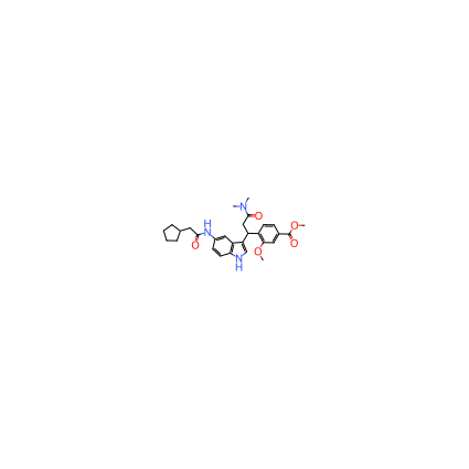 COC(=O)c1ccc(C(CC(=O)N(C)C)c2c[nH]c3ccc(NC(=O)CC4CCCC4)cc23)c(OC)c1